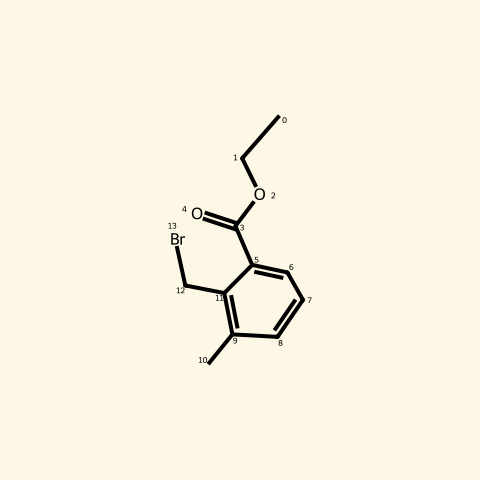 CCOC(=O)c1cccc(C)c1CBr